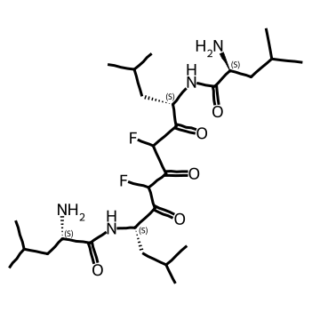 CC(C)C[C@H](NC(=O)[C@@H](N)CC(C)C)C(=O)C(F)C(=O)C(F)C(=O)[C@H](CC(C)C)NC(=O)[C@@H](N)CC(C)C